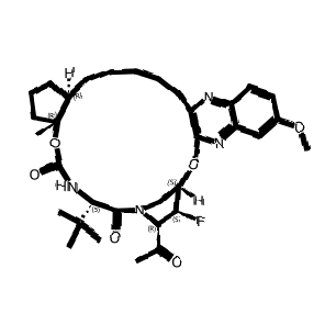 COc1ccc2nc3c(nc2c1)O[C@H]1CN(C(=O)[C@H](C(C)(C)C)NC(=O)O[C@]2(C)CCC[C@H]2CCCCC3)[C@H](C(C)=O)[C@@H]1F